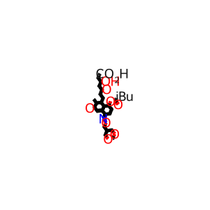 CCC(C)C(=O)OC1CC/C(=N\OCC2COCOC2)C2=CC(=O)C(C)C(CCC(=O)CC(O)CC(=O)O)C21